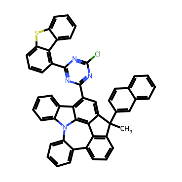 CC1(c2ccc3ccccc3c2)c2cccc3c2-c2c1cc(-c1nc(Cl)nc(-c4cccc5sc6ccccc6c45)n1)c1c4ccccc4n(c21)-c1ccccc1-3